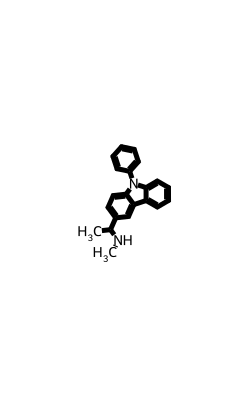 CNC(C)c1ccc2c(c1)c1ccccc1n2-c1ccccc1